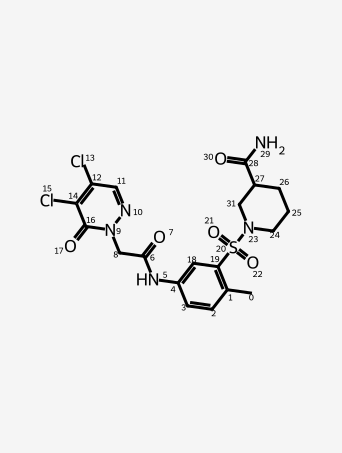 Cc1ccc(NC(=O)Cn2ncc(Cl)c(Cl)c2=O)cc1S(=O)(=O)N1CCCC(C(N)=O)C1